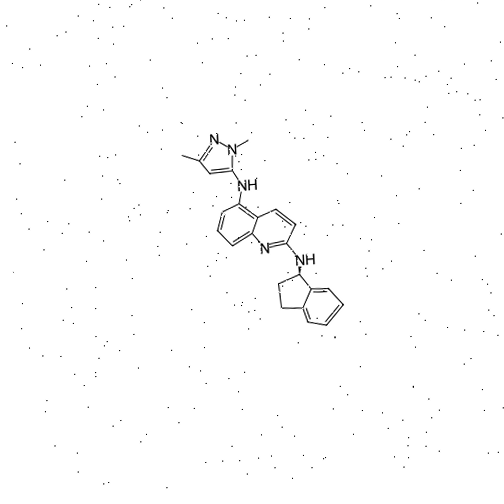 Cc1cc(Nc2cccc3nc(N[C@@H]4CCc5ccccc54)ccc23)n(C)n1